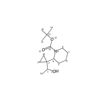 CC(O)C1(C2CCCCN2C(=O)OC(C)(C)C)CC1